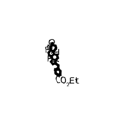 CCOC(=O)c1ccc(/C=C2\CC[C@H]3[C@@H]4CC[C@H]5N(C)C(=O)CC[C@]5(C)[C@H]4CC[C@]23C)cc1